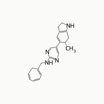 CC1CC2=C(C=C1c1cnc(NCC3=CC=CC=CC3)nc1)CCN2